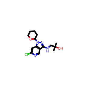 CC(C)(O)CNc1nn(C2CCCCO2)c2cc(Cl)ncc12